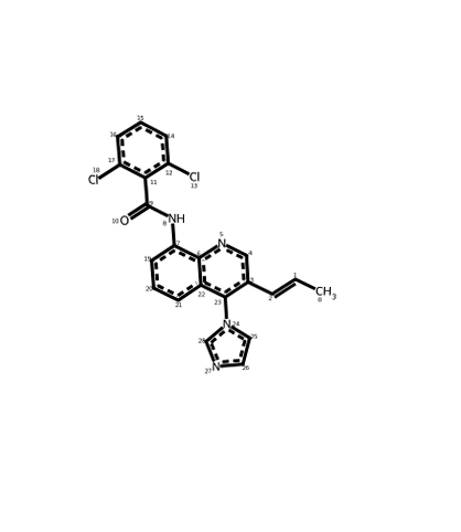 C/C=C/c1cnc2c(NC(=O)c3c(Cl)cccc3Cl)cccc2c1-n1ccnc1